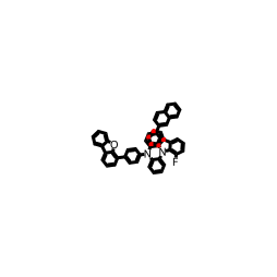 Fc1cccc2c3ccccc3n(-c3ccccc3N(c3ccc(-c4ccc5ccccc5c4)cc3)c3ccc(-c4cccc5c4oc4ccccc45)cc3)c12